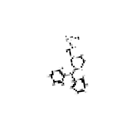 CCCCCCCCN=CN1CCCC(C(c2ccccc2)c2ccccc2)C1